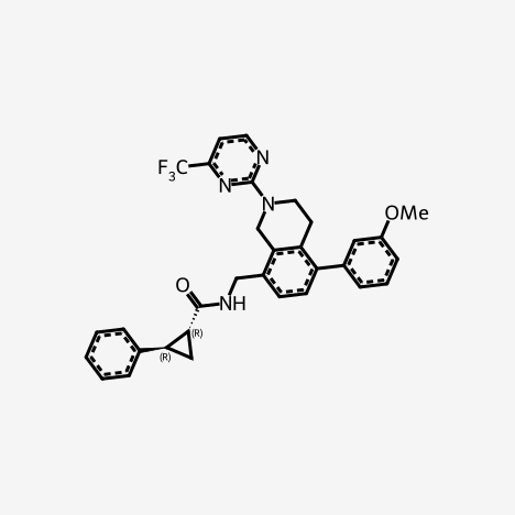 COc1cccc(-c2ccc(CNC(=O)[C@@H]3C[C@H]3c3ccccc3)c3c2CCN(c2nccc(C(F)(F)F)n2)C3)c1